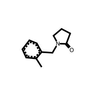 Cc1ccccc1CN1CCCC1=O